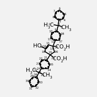 CC(C)(c1ccccc1)c1ccc(C2(C(=O)O)C=C(O)CC(C(=O)O)(c3ccc(C(C)(C)c4ccccc4)cc3)C2)cc1